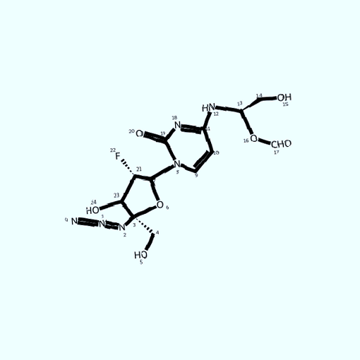 [N-]=[N+]=N[C@]1(CO)OC(n2ccc(N[C@@H](CO)OC=O)nc2=O)[C@@H](F)C1O